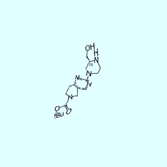 CC(C)(C)OC(=O)N1CCc2nc(N3CCN[C@H](CO)C3)ncc2C1